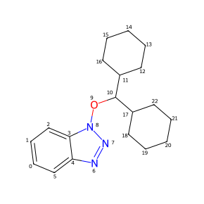 c1ccc2c(c1)nnn2OC(C1CCCCC1)C1CCCCC1